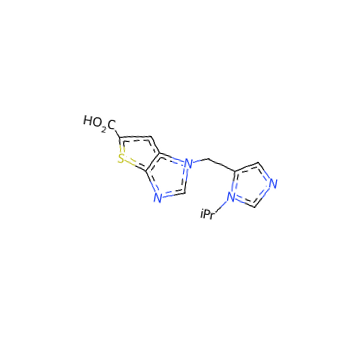 CC(C)n1cncc1Cn1cnc2sc(C(=O)O)cc21